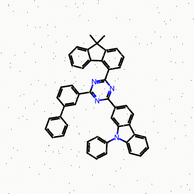 CC1(C)c2ccccc2-c2c(-c3nc(-c4cccc(-c5ccccc5)c4)nc(-c4ccc5c6ccccc6n(-c6ccccc6)c5c4)n3)cccc21